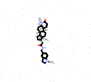 CN1CCc2cc(CNC(=O)C[C@H]3CC[C@H]4[C@@H]5CC[C@H]6N(C)C(=O)C=C[C@]6(C)[C@H]5CC[C@]34C)ccc21